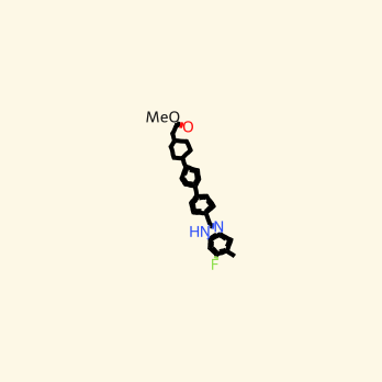 COC(=O)CC1CCC(c2ccc(-c3ccc(-c4nc5cc(C)c(F)cc5[nH]4)cc3)cc2)CC1